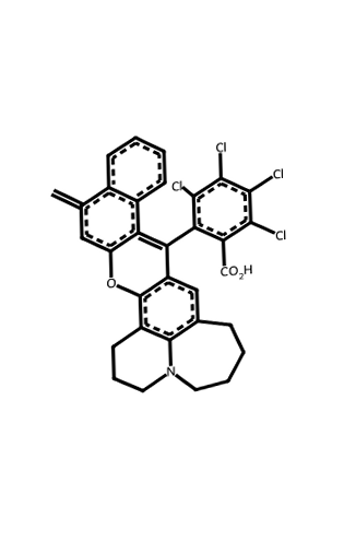 C=c1cc2c(c3ccccc13)=C(c1c(Cl)c(Cl)c(Cl)c(Cl)c1C(=O)O)c1cc3c4c(c1O2)CCCN4CCCC3